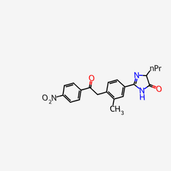 CCCC1N=C(c2ccc(CC(=O)c3ccc([N+](=O)[O-])cc3)c(C)c2)NC1=O